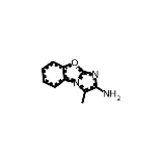 Cc1c(N)nc2oc3ccccc3n12